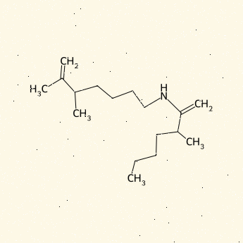 C=C(C)C(C)CCCCNC(=C)C(C)CCCC